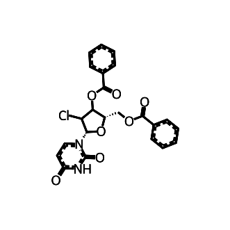 O=C(OC[C@@H]1O[C@H](n2ccc(=O)[nH]c2=O)C(Cl)C1OC(=O)c1ccccc1)c1ccccc1